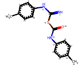 Cc1ccc(NC(=N)SC(=O)Nc2ccc(C)cc2)cc1